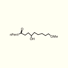 CCCCCC(=O)CCC(O)CCCCCOC